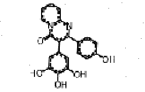 O=c1c(-c2cc(O)c(O)c(O)c2)c(-c2ccc(O)cc2)nc2ccccn12